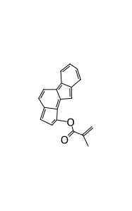 C=C(C)C(=O)OC1=CC=c2ccc3c(c21)C=c1ccccc1=3